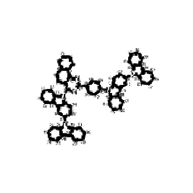 c1ccc2c(c1)ccc1c(-n3c4ccccc4c4cc(-n5c6ccccc6c6ccccc65)ccc43)nc(-c3ccc(-n4c5ccccc5c5cc(-n6c7ccccc7c7ccccc76)ccc54)cc3)nc12